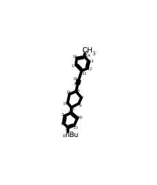 CCCCc1ccc(C2CCC(C#Cc3ccc(C)cc3)CC2)cc1